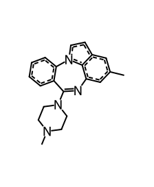 Cc1cc2c3c(ccn3-c3ccccc3C(N3CCN(C)CC3)=N2)c1